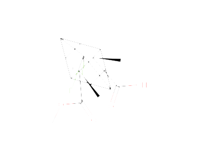 COC(=O)[C@@H]1C2C3C4C(C5C2C5C(F)(F)C34)[C@@H]1C(=O)O